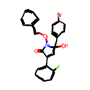 O=C1C(c2ccccc2F)=CC(O)(c2ccc(Br)cc2)N1OCc1ccccc1